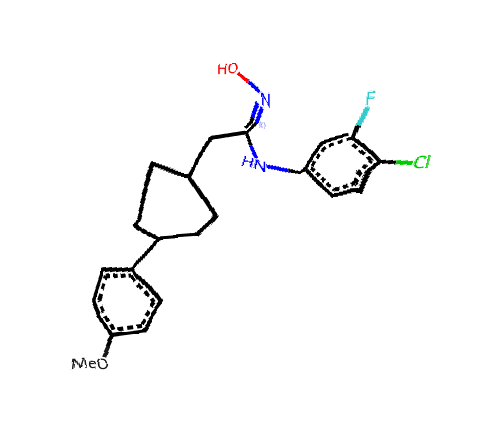 COc1ccc(C2CCC(C/C(=N\O)Nc3ccc(Cl)c(F)c3)CC2)cc1